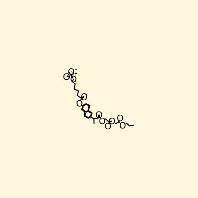 CCCOC(=O)COC(=O)COC(=O)C(C)c1ccc2cc(OC(=O)CCCCCO[N+](=O)[O-])ccc2c1